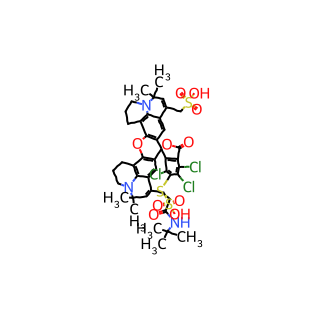 CC(C)(C)NC(=O)CSc1c(Cl)c(Cl)c2c(c1Cl)C1(OC2=O)c2cc3c4c(c2Oc2c1cc1c5c2CCCN5C(C)(C)C=C1CS(=O)(=O)O)CCCN4C(C)(C)C=C3CS(=O)(=O)O